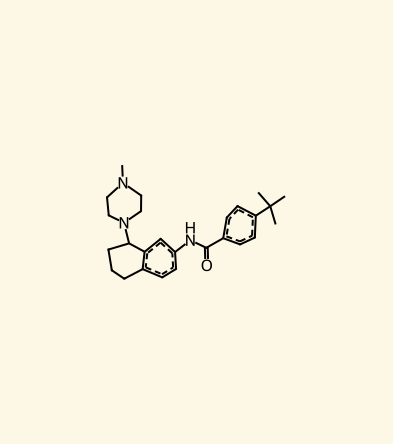 CN1CCN(C2CCCc3ccc(NC(=O)c4ccc(C(C)(C)C)cc4)cc32)CC1